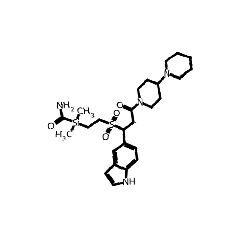 C[Si](C)(CCS(=O)(=O)C([CH]C(=O)N1CCC(N2CCCCC2)CC1)c1ccc2[nH]ccc2c1)C(N)=O